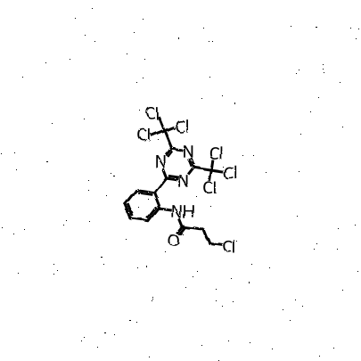 O=C(CCCl)Nc1ccccc1-c1nc(C(Cl)(Cl)Cl)nc(C(Cl)(Cl)Cl)n1